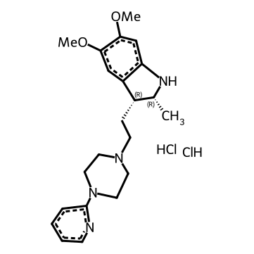 COc1cc2c(cc1OC)[C@@H](CCN1CCN(c3ccccn3)CC1)[C@@H](C)N2.Cl.Cl